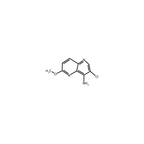 COc1ccc2ncc(Cl)c(N)c2n1